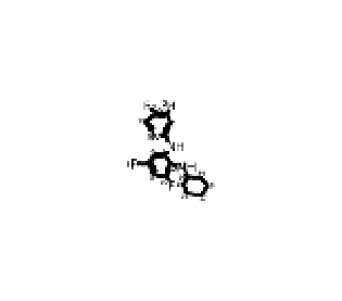 [2H]c1cc(Nc2cc(F)cc(F)c2NC2CCCCC2)ncc1F